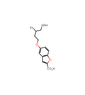 CCCCCCCCCCCC(CC)CCOc1ccc2oc(C(=O)O)cc2c1